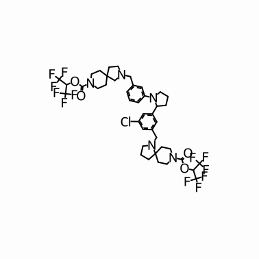 O=C(OC(C(F)(F)F)C(F)(F)F)N1CCC2(CCN(Cc3cccc(N4CCCC4c4cc(Cl)cc(CN5CCCC56CCN(C(=O)OC(C(F)(F)F)C(F)(F)F)CC6)c4)c3)C2)CC1